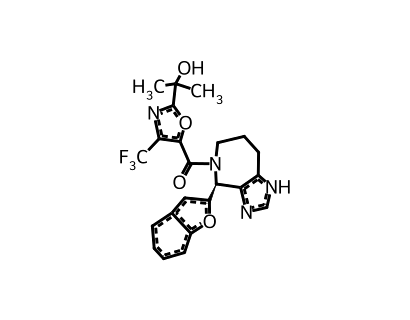 CC(C)(O)c1nc(C(F)(F)F)c(C(=O)N2CCCc3[nH]cnc3[C@H]2c2cc3ccccc3o2)o1